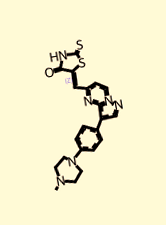 CN1CCN(c2ccc(-c3cnn4ccc(/C=C5\SC(=S)NC5=O)nc34)cc2)CC1